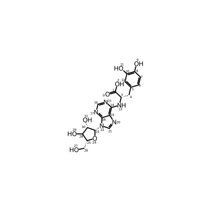 O=C(O)[C@H](Cc1ccc(O)c(O)c1)Nc1ncnc2c1ncn2[C@@H]1O[C@H](CO)C(O)[C@@H]1O